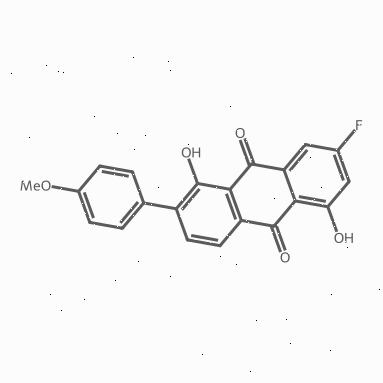 COc1ccc(-c2ccc3c(c2O)C(=O)c2cc(F)cc(O)c2C3=O)cc1